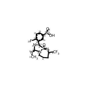 C/N=C(/N)N1CCCC(C(F)(F)F)N=S1(=O)Cc1cc([N+](=O)O)ccc1F